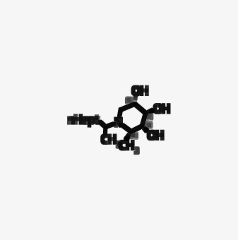 CCCCCCCC(C)N1C[C@H](O)[C@@H](O)[C@@H](O)[C@H]1C